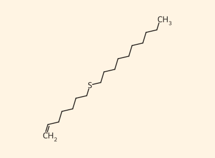 C=CCCCCCSCCCCCCCCCC